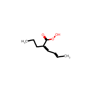 CC=CC=C(CCC)C(=O)OO